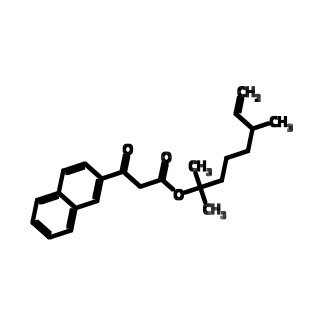 C=CC(C)CCCC(C)(C)OC(=O)CC(=O)c1ccc2ccccc2c1